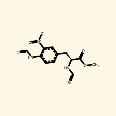 COC(=O)[C@H](Cc1ccc(NC=O)c([N+](=O)[O-])c1)NC=O